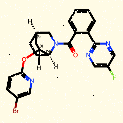 O=C(c1ccccc1-c1ncc(F)cn1)N1C[C@@H]2CC[C@H]1[C@H](Oc1ccc(Br)cn1)C2